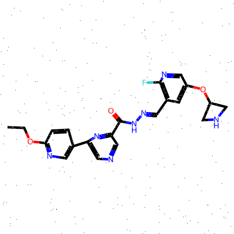 CCOc1ccc(-c2cncc(C(=O)N/N=C/c3cc(OC4CNC4)cnc3F)n2)cn1